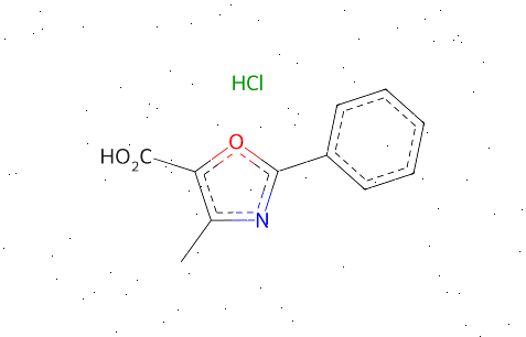 Cc1nc(-c2ccccc2)oc1C(=O)O.Cl